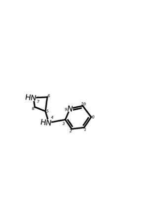 c1ccc(NC2CNC2)nc1